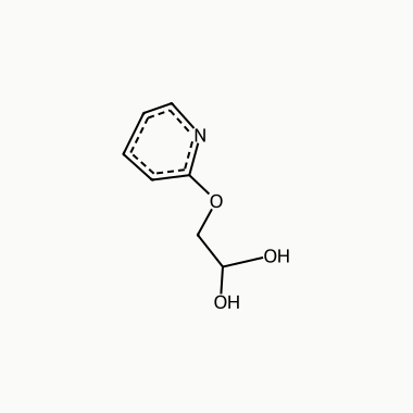 OC(O)COc1ccccn1